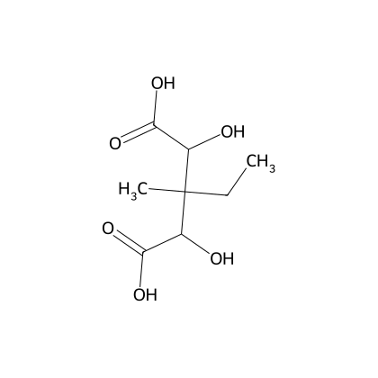 CCC(C)(C(O)C(=O)O)C(O)C(=O)O